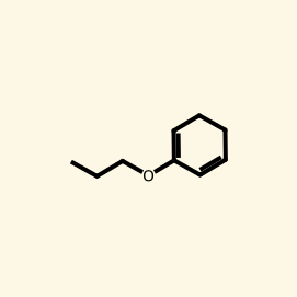 CCCOC1=CCCC=C1